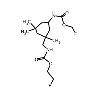 CC1(C)CC(NC(=O)OCF)CC(C)(CNC(=O)OCCF)C1